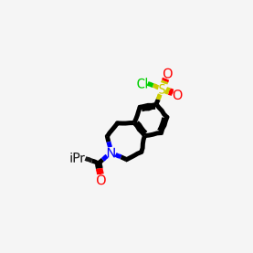 CC(C)C(=O)N1CCc2ccc(S(=O)(=O)Cl)cc2CC1